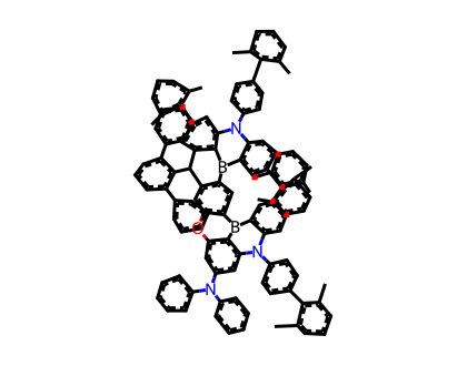 Cc1cccc(C)c1-c1ccc(N2c3ccc(-c4c(C)cccc4C)cc3B3c4cc5c(cc4Oc4cc(N(c6ccccc6)c6ccccc6)cc2c43)C(c2c(-c3ccccc3)cccc2-c2ccccc2)c2cc(-c3c(C)cccc3C)cc3c2B5c2cc(-c4c(C)cccc4C)ccc2N3c2ccc(-c3c(C)cccc3C)cc2)cc1